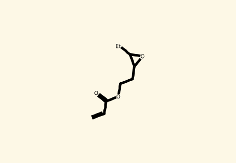 C=CC(=O)OCCC1OC1CC